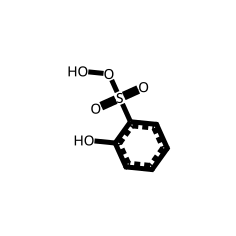 O=S(=O)(OO)c1ccccc1O